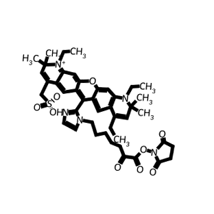 CCC1=CC(C)(C)N(CC)c2cc3c(cc21)C(c1nccn1CCCCCC(=O)C(=O)ON1C(=O)CCC1=O)=c1cc2c(cc1O3)=[N+](CC)C(C)(C)C=C2CS(=O)(=O)O